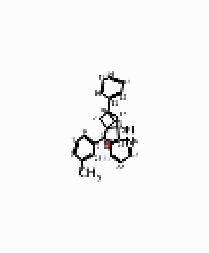 Cc1cccc(C(=O)C23CC(c4ccccc4)(C[C@H]2c2ccccn2)C3)c1